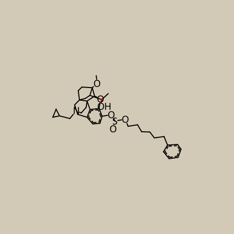 COC12CCC3(CC1C(C)O)C1Cc4ccc(OS(=O)OCCCCCCc5ccccc5)c5c4C3(CCN1CC1CC1)C2O5